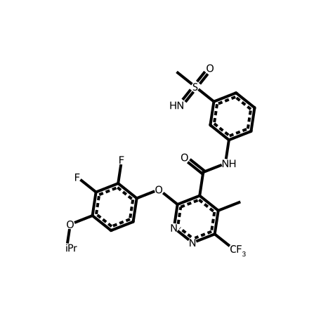 Cc1c(C(F)(F)F)nnc(Oc2ccc(OC(C)C)c(F)c2F)c1C(=O)Nc1cccc(S(C)(=N)=O)c1